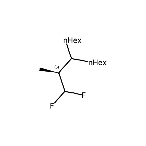 CCCCCCC(CCCCCC)[C@H](C)C(F)F